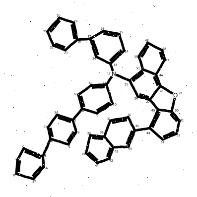 c1ccc(-c2ccc(-c3ccc(N(c4cccc(-c5ccccc5)c4)c4cc5c(oc6cccc(-c7ccc8ccccc8c7)c65)c5ccccc45)cc3)cc2)cc1